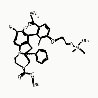 CC(C)(C)OC(=O)N1CCN2c3cc(F)c(Cl)c(-c4c(C(N)=O)ccc(OCCO[Si](C)(C)C(C)(C)C)c4F)c3CC2(c2ccccc2)C1